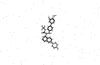 COc1ccc(-c2ccc(NC(C(=O)CC(C)(C)C)c3nccc4cc(N5CCN(C)CC5)ccc34)cc2)cc1C